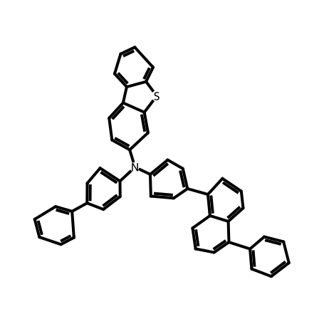 c1ccc(-c2ccc(N(c3ccc(-c4cccc5c(-c6ccccc6)cccc45)cc3)c3ccc4c(c3)sc3ccccc34)cc2)cc1